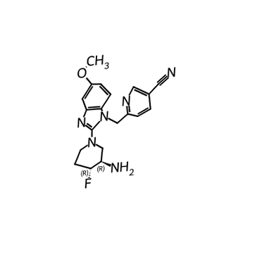 COc1ccc2c(c1)nc(N1CC[C@@H](F)[C@H](N)C1)n2Cc1ccc(C#N)cn1